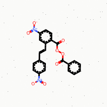 O=C(OOC(=O)c1ccc([N+](=O)[O-])cc1C=Cc1ccc([N+](=O)[O-])cc1)c1ccccc1